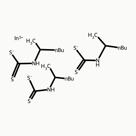 CCCCC(C)NC(=S)[S-].CCCCC(C)NC(=S)[S-].CCCCC(C)NC(=S)[S-].[In+3]